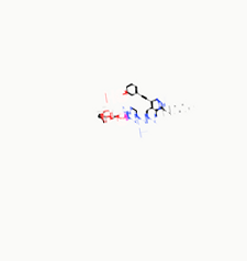 CNc1ncc(C#Cc2cccc(O)c2)c2cc(Nc3ccnc(OCCO[Si](C)(C)C(C)(C)C)n3)ncc12